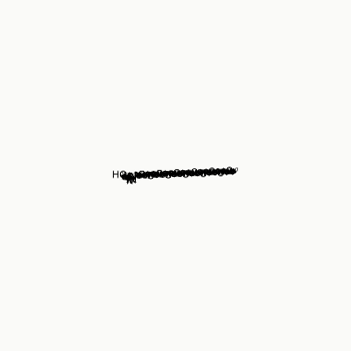 CCOCCOCCOCCOCCOCCOCCOCCOCCOCCOCCOCCn1cc(CO)nn1